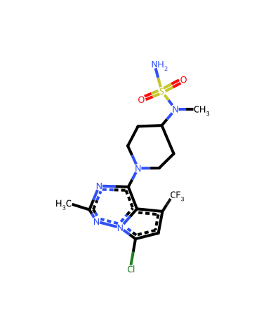 Cc1nc(N2CCC(N(C)S(N)(=O)=O)CC2)c2c(C(F)(F)F)cc(Cl)n2n1